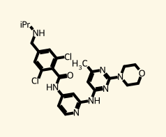 Cc1cc(Nc2cc(NC(=O)c3c(Cl)cc(CNC(C)C)cc3Cl)ccn2)nc(N2CCOCC2)n1